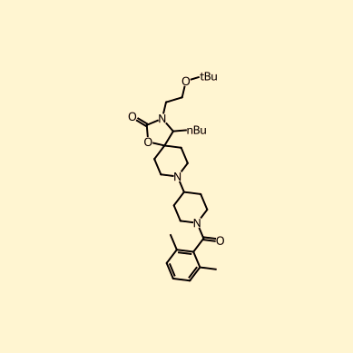 CCCCC1N(CCOC(C)(C)C)C(=O)OC12CCN(C1CCN(C(=O)c3c(C)cccc3C)CC1)CC2